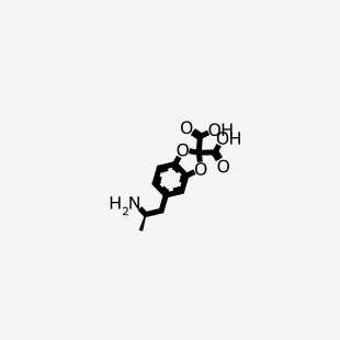 C[C@@H](N)Cc1ccc2c(c1)OC(C(=O)O)(C(=O)O)O2